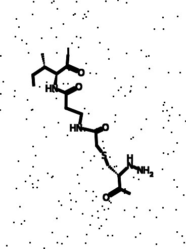 CC[C@H](C)[C@H](NC(=O)CCNC(=O)CSC[C@H](NN)C(C)=O)C(=O)I